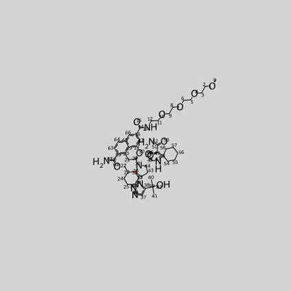 COCCOCCOCCOCCNC(=O)c1ccc2c([C@@H](CC3CCCCC3)C(=O)N3C[C@@H](n4nncc4C(C)(C)O)C[C@H]3C(=O)NC3(C(=O)C(N)=O)CCCCC3)c(C(N)=O)ccc2c1